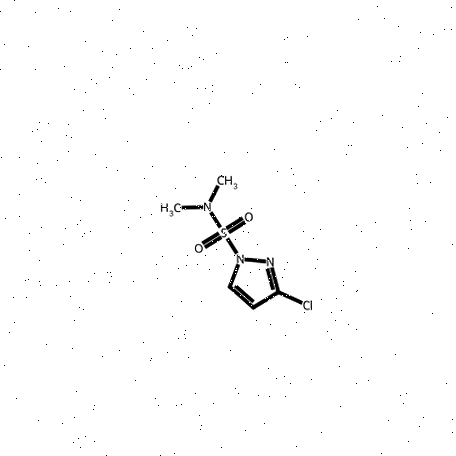 CN(C)S(=O)(=O)n1ccc(Cl)n1